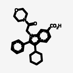 O=C(O)c1ccc2c(C3CCCCC3)c(-c3ccccc3)n(CC(=O)N3CCOCC3)c2c1